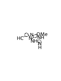 C#Cc1cccc(-c2nc(N)c3cc(NC4CCNCC4)c(OC)cc3n2)c1